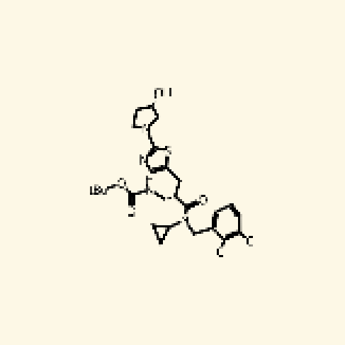 CC(C)(C)OC(=O)NC[C@H](Cc1cnc(N2CC[C@H](O)C2)s1)C(=O)N(Cc1cccc(Cl)c1Cl)C1CC1